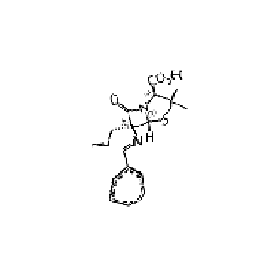 C=CC[C@]1(N=Cc2ccccc2)C(=O)N2[C@@H](C(=O)O)C(C)(C)S[C@@H]21